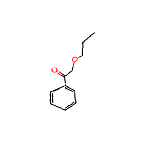 CCCOCC(=O)c1ccccc1